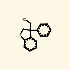 OCC1(c2ccccc2)COc2ccccc21